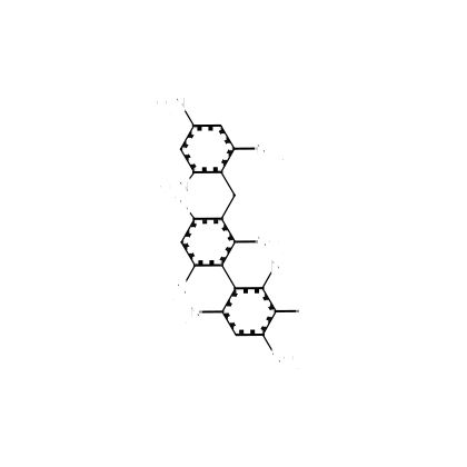 O=[N+]([O-])c1cc([N+](=O)[O-])c(Cc2c([N+](=O)[O-])cc([N+](=O)[O-])c(-c3c([N+](=O)[O-])cc([N+](=O)[O-])c(Cl)c3[N+](=O)[O-])c2[N+](=O)[O-])c([N+](=O)[O-])c1